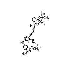 CCCNc1nc(Nc2cnc3c(c2)c(OC)nn3C)ncc1C#CCCCNC(=O)[C@@H]1CCCN1C(=O)OC(C)(C)C